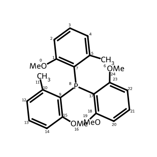 COc1cccc(C)c1P(c1c(C)cccc1OC)c1c(OC)cccc1OC